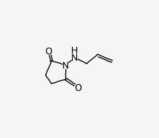 C=CCNN1C(=O)CCC1=O